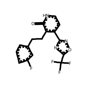 O=c1[nH]ccc(-c2noc(C(F)(F)F)n2)c1CCc1cccc(F)c1